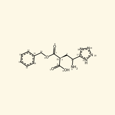 NC(C[C@@H](C(=O)O)C(=O)OCc1ccccc1)c1nnn[nH]1